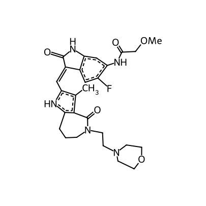 COCC(=O)Nc1cc2c(cc1F)C(=Cc1[nH]c3c(c1C)C(=O)N(CCN1CCOCC1)CCC3)C(=O)N2